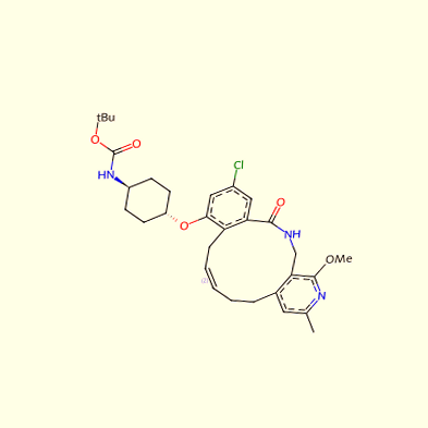 COc1nc(C)cc2c1CNC(=O)c1cc(Cl)cc(O[C@H]3CC[C@H](NC(=O)OC(C)(C)C)CC3)c1C/C=C\CC2